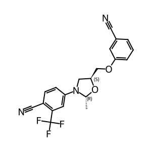 C[C@H]1O[C@H](COc2cccc(C#N)c2)CN1c1ccc(C#N)c(C(F)(F)F)c1